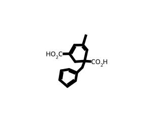 CC1=CC(Cc2ccccc2)(C(=O)O)CC(C(=O)O)=C1